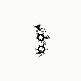 N#CC1(Sc2ccc(OC3CCC(F)(F)CC3)c(Br)c2)CC1